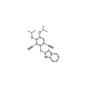 CC(C)Oc1cc(C#N)c(Sc2nc3ccccc3s2)c(C#N)c1OC(C)C